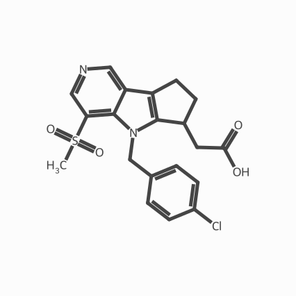 CS(=O)(=O)c1cncc2c3c(n(Cc4ccc(Cl)cc4)c12)C(CC(=O)O)CC3